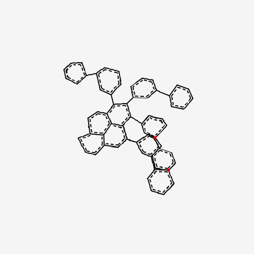 c1ccc(-c2cccc(-c3c(-c4cccc(-c5ccccc5)c4)c4ccc5cccc6cc(-c7cccc(-c8ccccc8)c7)c(c3-c3cccc(-c7ccccc7)c3)c4c56)c2)cc1